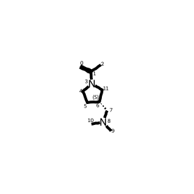 C=C(C)N1CC[C@@H](CN(C)C)C1